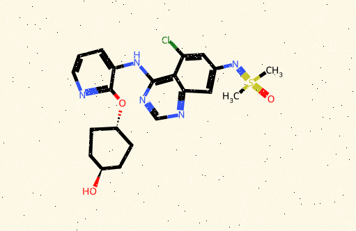 CS(C)(=O)=Nc1cc(Cl)c2c(Nc3cccnc3O[C@H]3CC[C@H](O)CC3)ncnc2c1